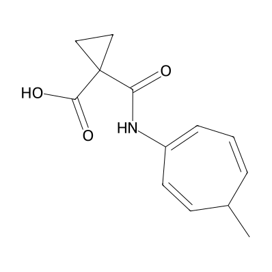 CC1C=CC=C(NC(=O)C2(C(=O)O)CC2)C=C1